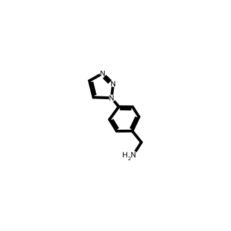 NCc1ccc(-n2ccnn2)cc1